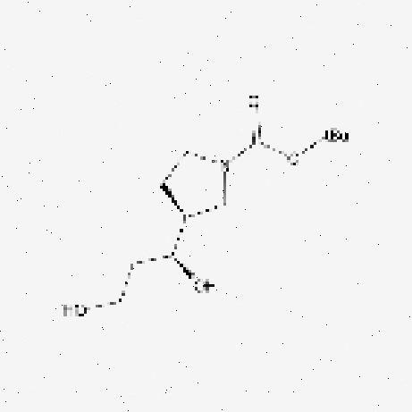 CC(C)(C)OC(=O)N1CC[C@H]([C@@H](O)CCO)C1